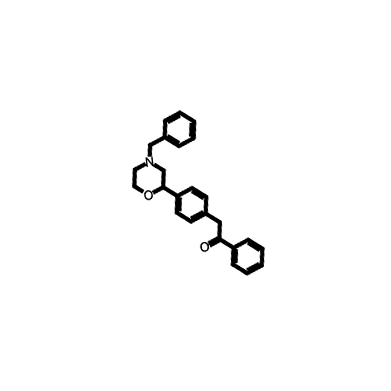 O=C(Cc1ccc(C2CN(Cc3ccccc3)CCO2)cc1)c1ccccc1